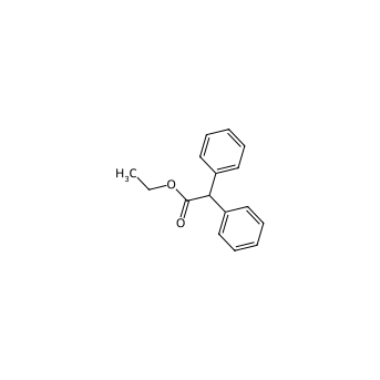 CCOC(=O)C(c1ccccc1)c1ccccc1